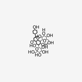 O=c1cc(-c2ccc(O)cc2)oc2c([C@@H]3OC(CO)[C@@H](O)[C@H](O)C3O)c(O)c([C@@H]3OC(CO)[C@@H](O)[C@H](O)C3O)c(O)c12